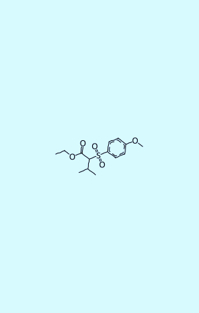 CCOC(=O)C(C(C)C)S(=O)(=O)c1ccc(OC)cc1